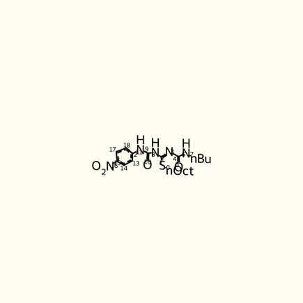 CCCCCCCCSC(=NC(=O)NCCCC)NC(=O)Nc1ccc([N+](=O)[O-])cc1